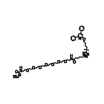 CC(C)(C)OC(=O)NCCOCCOCCOCCOCCOCCOCCOCCNC(=O)CCCCn1nnc(C(C)(C)CCCCOc2cc(-c3ccccc3)cc(-c3ccccc3)n2)n1